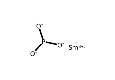 [O-]P([O-])[O-].[Sm+3]